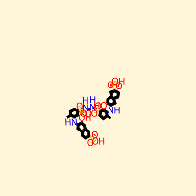 Cc1ccc(S(=O)(=O)NC(=O)NS(=O)(=O)c2ccc(C)c(Nc3cc4ccc(S(=O)(=O)O)cc4cc3O)c2)cc1Nc1cc2ccc(S(=O)(=O)O)cc2cc1O